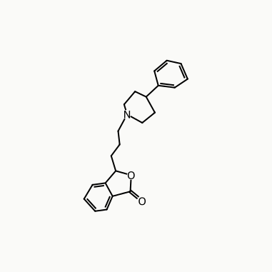 O=C1OC(CCCN2CCC(c3ccccc3)CC2)c2ccccc21